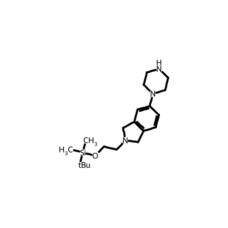 CC(C)(C)[Si](C)(C)OCCN1Cc2ccc(N3CCNCC3)cc2C1